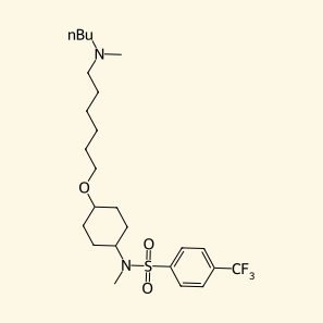 CCCCN(C)CCCCCCOC1CCC(N(C)S(=O)(=O)c2ccc(C(F)(F)F)cc2)CC1